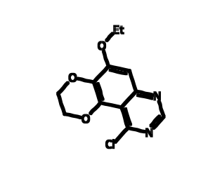 CCOc1cc2ncnc(Cl)c2c2c1OCCO2